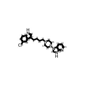 Clc1ccc2[nH]cc(CCCCN3CCN(N4CNc5ncccc54)CC3)c2c1